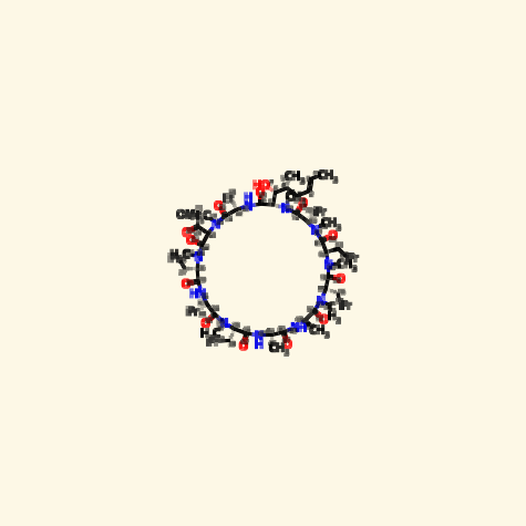 C/C=C/C[C@@H](C)[C@@H](O)[C@H]1C(=O)N[C@@H](CC)C(=O)N(C)C(C(=O)OC)C(=O)N(C)[C@@H](CC(C)C)C(=O)N[C@@H](C(C)C)C(=O)N(C)[C@@H](CC(C)C)C(=O)N[C@@H](C)C(=O)N[C@H](C)C(=O)N(C)[C@@H](CC(C)C)C(=O)N(C)[C@H](CC(C)C)C(=O)N(C)[C@@H](C(C)C)C(=O)N1C